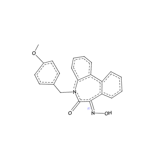 COc1ccc(Cn2c(=O)/c(=N/O)c3ccccc3c3ccccc32)cc1